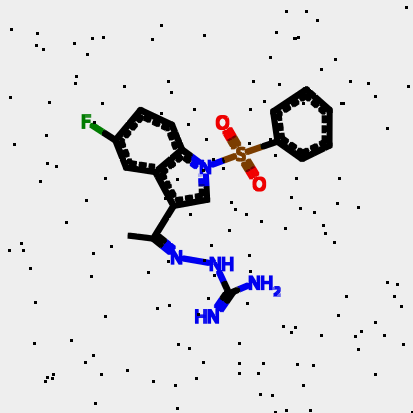 C/C(=N/NC(=N)N)c1cn(S(=O)(=O)c2ccccc2)c2ccc(F)cc12